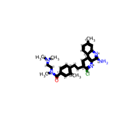 CC1=CC2N=C(N)c3nc(Cl)c(CCc4ccc(C(=O)N(C)CCN(C)C)cc4C)cc3C2C=C1